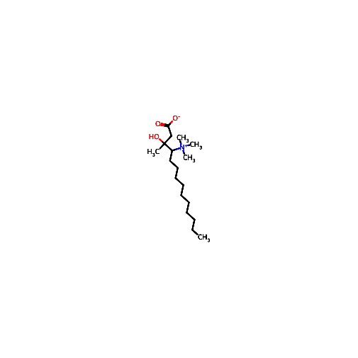 CCCCCCCCCCC(C(C)(O)CC(=O)[O-])[N+](C)(C)C